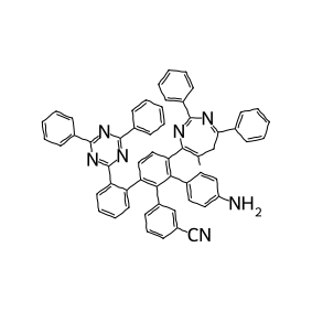 CC1=C(c2ccc(-c3ccccc3-c3nc(-c4ccccc4)nc(-c4ccccc4)n3)c(-c3cccc(C#N)c3)c2-c2ccc(N)cc2)N=C(c2ccccc2)N=C(c2ccccc2)C1